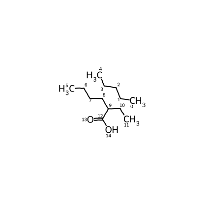 CCCCC.CCCCC(CC)C(=O)O